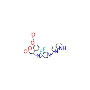 COCCOc1cccc([C@H](CC(=O)OC)CN2CC3(CCN(Cc4ccc5c(n4)NCCC5)CC3(F)F)C2)c1